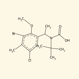 COc1c(C(C)N(C(=O)O)C(C)(C)C)cc(Cl)c(C)c1Br